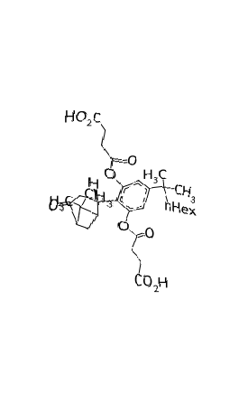 CCCCCCC(C)(C)c1cc(OC(=O)CCC(=O)O)c([C@H]2CC(=O)C3CC2C3(C)C)c(OC(=O)CCC(=O)O)c1